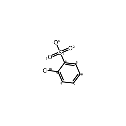 [O]S(=O)(=O)c1ccccc1Cl